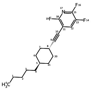 CCCCC[C@H]1CC[C@H](C#Cc2cc(F)c(F)nc2F)CC1